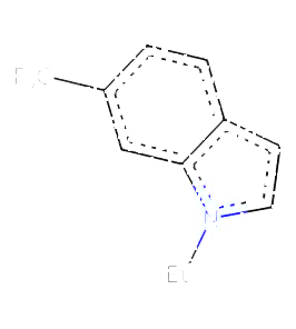 CCn1ccc2ccc(C(F)(F)F)cc21